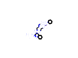 CCCCc1nc2c(N)nc3ccccc3c2n1CCCNC(=S)Nc1ccccc1